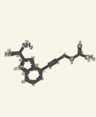 CC(=O)OCC#Cc1cccc2sc(C(=N)N)cc12